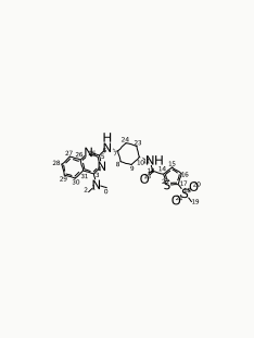 CN(C)c1nc(N[C@H]2CC[C@@H](NC(=O)c3ccc(S(C)(=O)=O)s3)CC2)nc2ccccc12